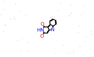 O=C1C=C2N=c3ccccc3=C2C(=O)N1